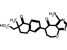 CC1(CC(=O)O)CCc2cc(C3CCOc4ncnc(N)c4C3=O)ccc2C1=O